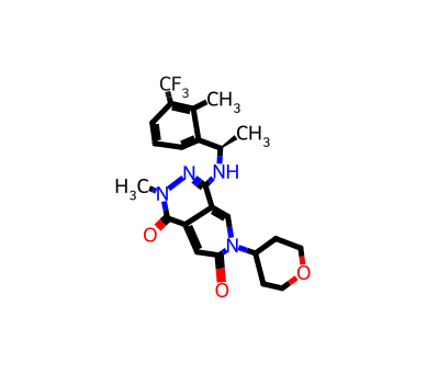 Cc1c([C@@H](C)Nc2nn(C)c(=O)c3cc(=O)n(C4CCOCC4)cc23)cccc1C(F)(F)F